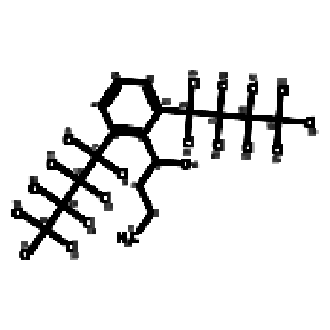 CCCC([O])c1c(C(Cl)(Cl)C(Cl)(Cl)C(Cl)(Cl)C(Cl)(Cl)Cl)cccc1C(Cl)(Cl)C(Cl)(Cl)C(Cl)(Cl)C(Cl)(Cl)Cl